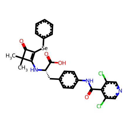 CC1(C)C(=O)C([Se]c2ccccc2)=C1N[C@@H](Cc1ccc(NC(=O)c2c(Cl)cncc2Cl)cc1)C(=O)O